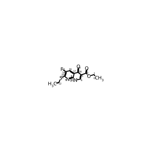 CCOC(=O)c1c[nH]c2nc(SCC)c(F)cc2c1=O